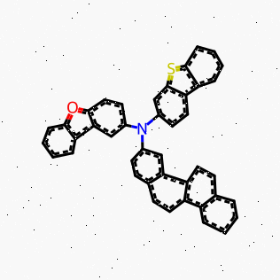 c1ccc2c(c1)ccc1c3cc(N(c4ccc5c(c4)sc4ccccc45)c4ccc5oc6ccccc6c5c4)ccc3ccc21